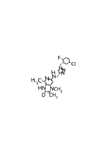 Cc1nc(NCc2cn(Cc3cc(Cl)ccc3F)nn2)cc2c1NC(=O)[C@H](C)N2C